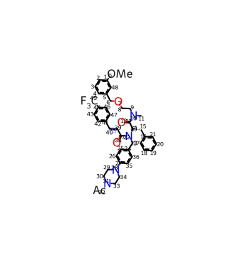 COc1cccc(COCCN(C)C(=O)[C@H](Cc2ccccc2)N(Cc2ccc(N3CCN(C(C)=O)CC3)cc2)C(=O)/C=C/c2ccc(C(F)(F)F)cc2)c1